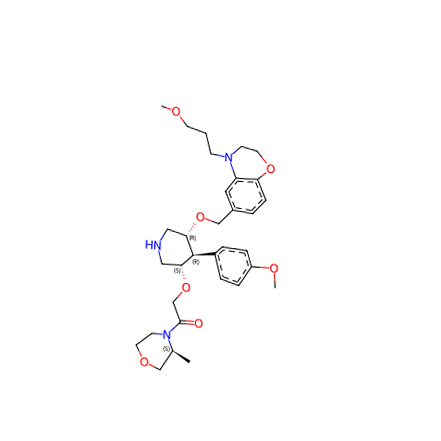 COCCCN1CCOc2ccc(CO[C@H]3CNC[C@@H](OCC(=O)N4CCOC[C@@H]4C)[C@@H]3c3ccc(OC)cc3)cc21